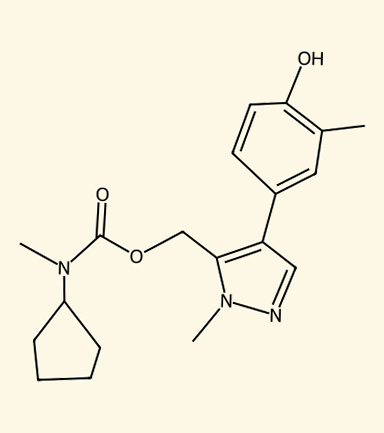 Cc1cc(-c2cnn(C)c2COC(=O)N(C)C2CCCC2)ccc1O